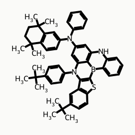 CC(C)(C)c1ccc(N2c3cc(N(c4ccccc4)c4ccc5c(c4)C(C)(C)CCC5(C)C)cc4c3B(c3ccccc3N4)c3sc4ccc(C(C)(C)C)cc4c32)cc1